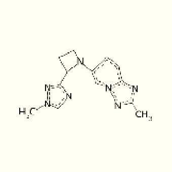 Cc1nc2ccc(N3CCC3c3ncn(C)n3)cn2n1